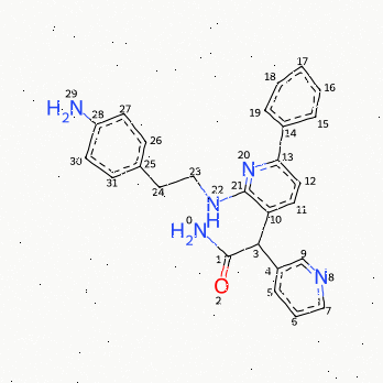 NC(=O)C(c1cccnc1)c1ccc(-c2ccccc2)nc1NCCc1ccc(N)cc1